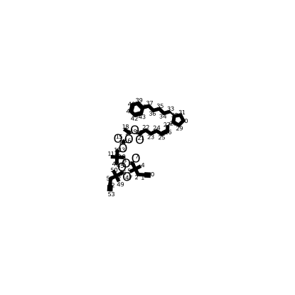 C#CCC(C)(C)C(=O)OCC(C)(COC(=O)OC(C)OC(=O)CCC/C=C\C[C@H]1CCC[C@@H]1CCCCCc1ccccc1)COC(=O)C(C)(C)CC#C